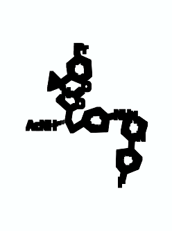 CC(=O)N[C@@H](Cc1ccc(Nc2cc(-c3ccc(F)cc3)ncn2)cc1)C1CN(C2(c3cccc(C(C)C)c3)CC2)C(=O)O1